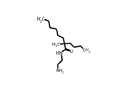 CCCCCCC(C)(CCCC)C(=O)NCCN